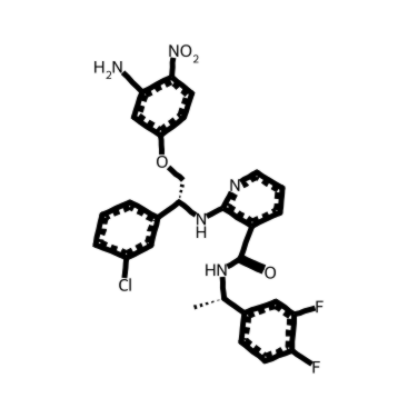 C[C@H](NC(=O)c1cccnc1N[C@@H](COc1ccc([N+](=O)[O-])c(N)c1)c1cccc(Cl)c1)c1ccc(F)c(F)c1